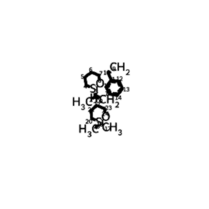 C=C(C)[SiH]1CCCCO1.C=Cc1ccccc1.C[Si]1(C)CCCCO1